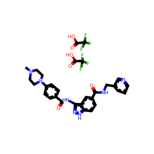 CN1CCN(c2ccc(C(=O)Nc3n[nH]c4ccc(C(=O)NCc5cccnc5)cc34)cc2)CC1.O=C(O)C(F)(F)F.O=C(O)C(F)(F)F